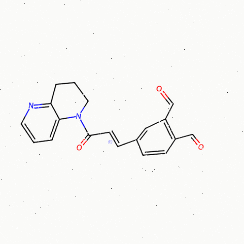 O=Cc1ccc(/C=C/C(=O)N2CCCc3ncccc32)cc1C=O